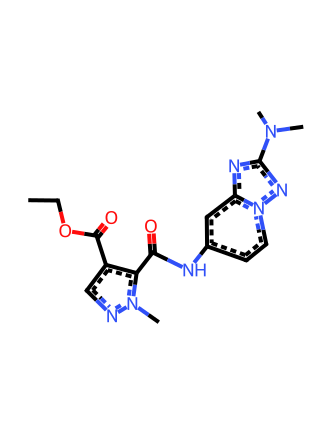 CCOC(=O)c1cnn(C)c1C(=O)Nc1ccn2nc(N(C)C)nc2c1